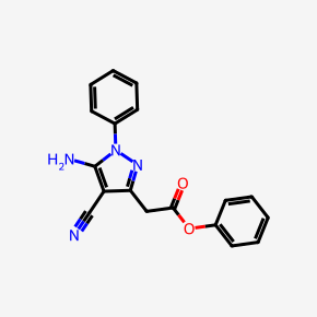 N#Cc1c(CC(=O)Oc2ccccc2)nn(-c2ccccc2)c1N